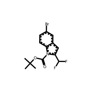 CC(C)(C)OC(=O)n1c(C(F)F)cc2cc(Br)ccc21